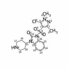 Cc1nn(C)c(Cl)c1S(=O)(=O)n1c(=O)n(C2CCNCC2)c2ccccc21